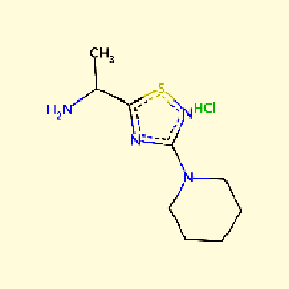 CC(N)c1nc(N2CCCCC2)ns1.Cl